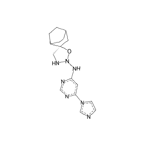 c1cn(-c2cc(NN3NC[C@]4(CC5CCC4CC5)O3)ncn2)cn1